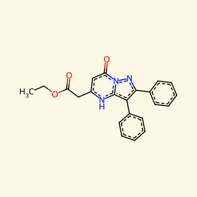 CCOC(=O)Cc1cc(=O)n2nc(-c3ccccc3)c(-c3ccccc3)c2[nH]1